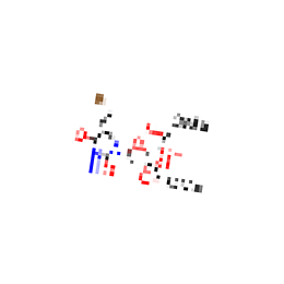 COCC(=O)C(O)[C@H]1O[C@@H](n2cc(/C=C/Br)c(=O)[nH]c2=O)C[C@@]1(O)C(=O)COC